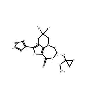 COC1(C[C@H]2CN3CC(F)(F)Cc4c(-c5cn[nH]c5)sc(c43)C(=O)N2)CC1